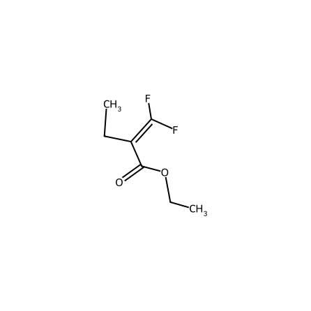 CCOC(=O)C(CC)=C(F)F